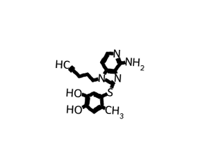 C#CCCCn1c(Sc2cc(O)c(O)cc2C)nc2c(N)nccc21